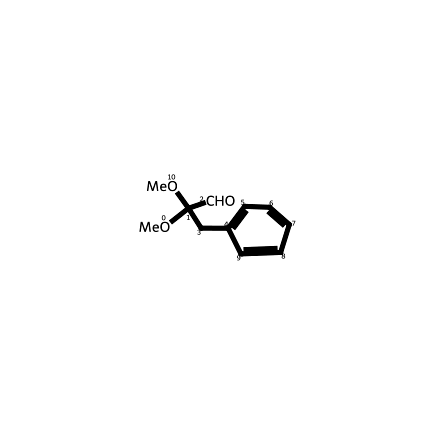 COC(C=O)(Cc1ccccc1)OC